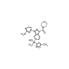 Cc1cc([C@](C)(O)c2ccc3c(C(=O)N4CCOCC4)nn(-c4ccnc(N)n4)c3c2)no1